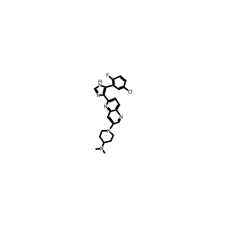 CN(C)C1CCN(c2cnc3ccc(-c4nc[nH]c4-c4cc(Cl)ccc4F)nc3c2)CC1